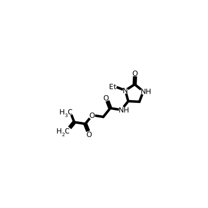 C=C(C)C(=O)OCC(=O)NC1CNC(=O)N1CC